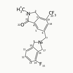 CN1Cc2c(cc(CN3Cc4cccc(F)c4C3)cc2C(F)(F)F)C1=O